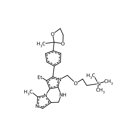 CCc1c2c(n(COCC[Si](C)(C)C)c1-c1ccc(C3(C)OCCO3)cc1)NCc1cnc(C)n1-2